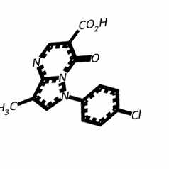 Cc1cn(-c2ccc(Cl)cc2)n2c(=O)c(C(=O)O)cnc12